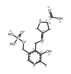 Cc1ncc(COP(=O)(O)O)c(CN=C2CS[C@H](C(=O)O)C2)c1O